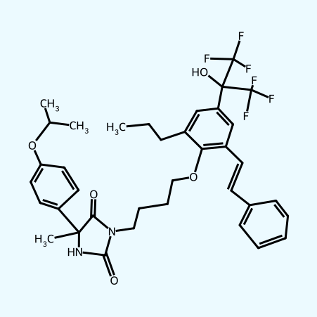 CCCc1cc(C(O)(C(F)(F)F)C(F)(F)F)cc(/C=C/c2ccccc2)c1OCCCCN1C(=O)NC(C)(c2ccc(OC(C)C)cc2)C1=O